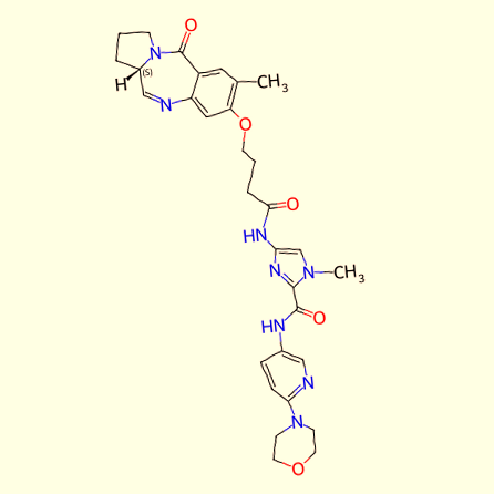 Cc1cc2c(cc1OCCCC(=O)Nc1cn(C)c(C(=O)Nc3ccc(N4CCOCC4)nc3)n1)N=C[C@@H]1CCCN1C2=O